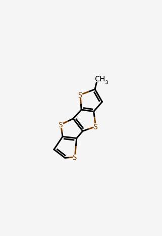 Cc1cc2sc3c4sccc4sc3c2s1